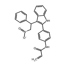 C=CC(=O)Nc1ccc(-c2[nH]c3ccccc3c2C(C[N+](=O)[O-])c2ccccc2)cc1